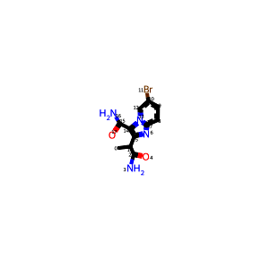 CC(C(N)=O)c1nc2ccc(Br)cn2c1C(N)=O